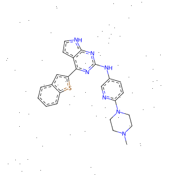 CN1CCN(c2ccc(Nc3nc(-c4cc5ccccc5s4)c4cc[nH]c4n3)cn2)CC1